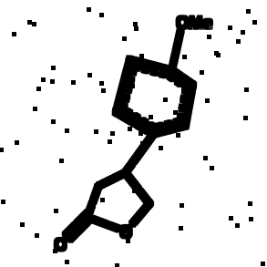 COc1ccc(C2COC(=O)C2)cc1